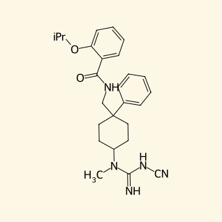 CC(C)Oc1ccccc1C(=O)NCC1(c2ccccc2)CCC(N(C)C(=N)NC#N)CC1